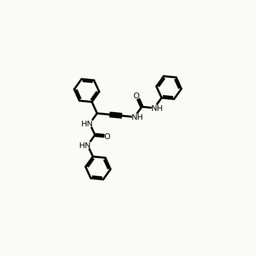 O=C(NC#CC(NC(=O)Nc1ccccc1)c1ccccc1)Nc1ccccc1